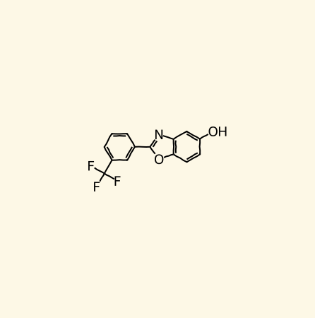 Oc1ccc2oc(-c3cccc(C(F)(F)F)c3)nc2c1